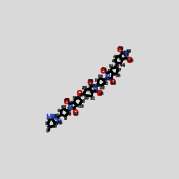 Cc1ccc2[nH]c(-c3ccc(N4C(=O)c5ccc(Oc6ccc7c(c6)C(=O)N(c6ccc(N8C(=O)c9ccc(-c%10ccc%11c(c%10)C(=O)N(C)C%11=O)cc9C8=O)cc6)C7=O)cc5C4=O)cc3)nc2c1